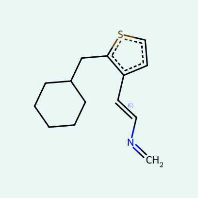 C=N/C=C/c1ccsc1CC1CCCCC1